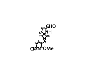 COc1nc(Cl)ccc1CN1CC2(CCC(C=O)N2)C1